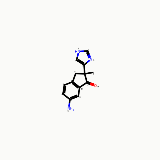 CC1(c2c[nH]cn2)Cc2ccc(N)cc2C1=O